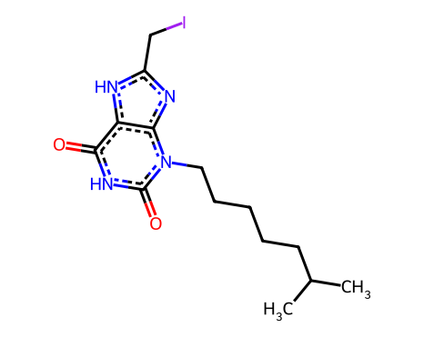 CC(C)CCCCCn1c(=O)[nH]c(=O)c2[nH]c(CI)nc21